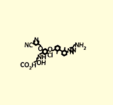 Cc1c(COc2cc(OCc3cncc(C#N)c3)c(CNCC(O)CC(=O)O)cc2Cl)cccc1-c1cccc(-n2cc(CN)nn2)c1C